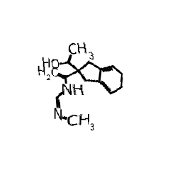 C=C(N/C=N\C)C1(C(C)O)CC2=CCCC=C2C1